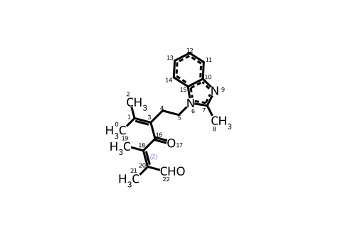 CC(C)=C(CCn1c(C)nc2ccccc21)C(=O)/C(C)=C(/C)C=O